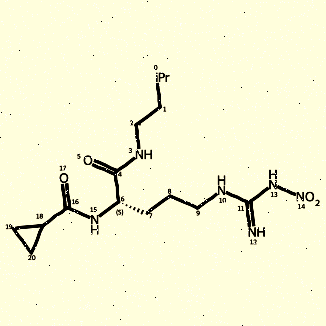 CC(C)C[CH]NC(=O)[C@H](CCCNC(=N)N[N+](=O)[O-])NC(=O)C1CC1